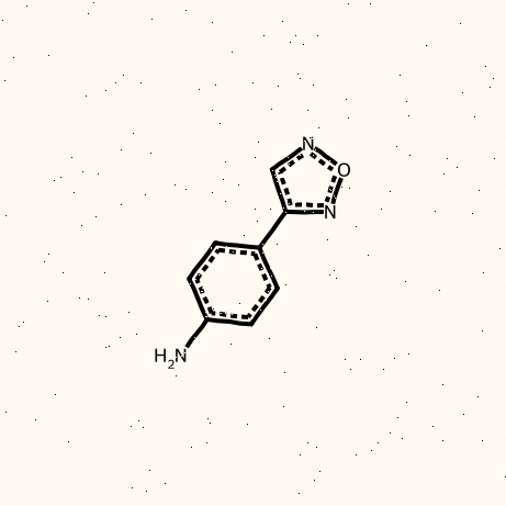 Nc1ccc(-c2cnon2)cc1